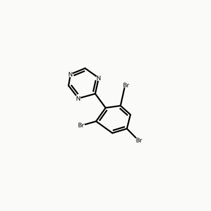 Brc1cc(Br)c(-c2ncncn2)c(Br)c1